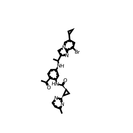 CC(=O)c1ccc(NC(C)c2cn3cc(C4CC4)cc(Br)c3n2)cc1NC(=O)[C@H]1C[C@@H]1c1nccc(C)n1